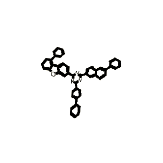 c1ccc(-c2ccc(-c3nc(-c4ccc5cc(-c6ccccc6)ccc5c4)nc(-c4ccc5c(c4)oc4cccc(-c6ccccc6)c45)n3)cc2)cc1